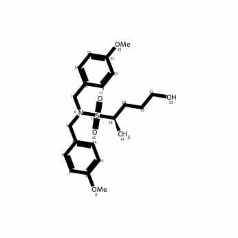 COc1ccc(CN(Cc2ccc(OC)cc2)S(=O)(=O)[C@H](C)CCCO)cc1